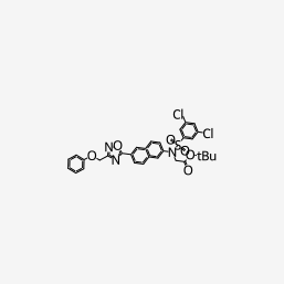 CC(C)(C)OC(=O)CN(c1ccc2cc(-c3nc(COc4ccccc4)no3)ccc2c1)S(=O)(=O)c1cc(Cl)cc(Cl)c1